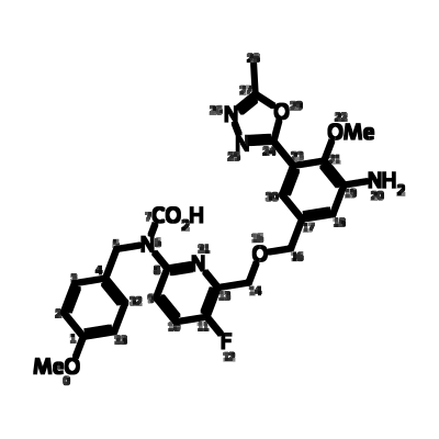 COc1ccc(CN(C(=O)O)c2ccc(F)c(COCc3cc(N)c(OC)c(-c4nnc(C)o4)c3)n2)cc1